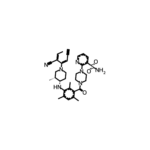 C#C/C=C(\C(C#N)=C/C)N1CC[C@H](Nc2c(C)cc(C)c(C(=O)N3CCN(c4ncccc4S(N)(=O)=O)CC3)c2C)[C@H](C)C1